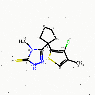 Cc1csc(C2(c3n[nH]c(=S)n3C)CCCC2)c1Cl